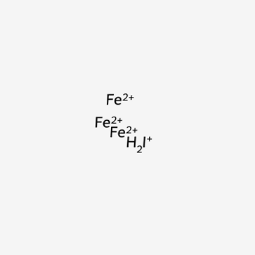 [Fe+2].[Fe+2].[Fe+2].[IH2+]